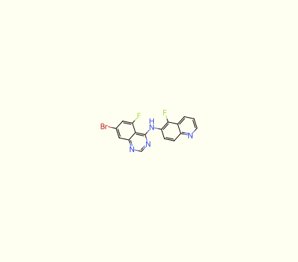 Fc1c(Nc2ncnc3cc(Br)cc(F)c23)ccc2ncccc12